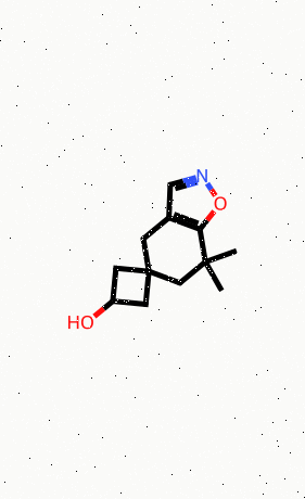 CC1(C)CC2(Cc3cnoc31)CC(O)C2